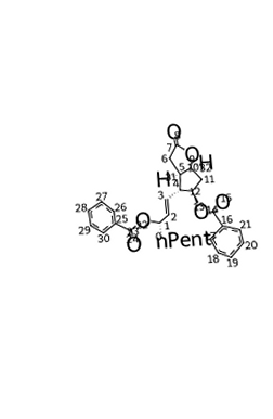 CCCCC[C@@H](/C=C/[C@@H]1[C@H]2CC(=O)O[C@H]2C[C@H]1OC(=O)c1ccccc1)OC(=O)c1ccccc1